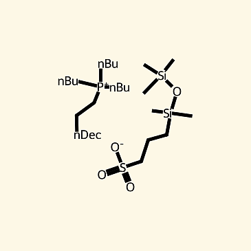 CCCCCCCCCCCC[P+](CCCC)(CCCC)CCCC.C[Si](C)(C)O[Si](C)(C)CCCS(=O)(=O)[O-]